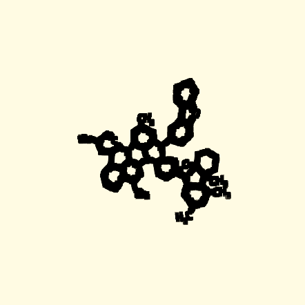 Cc1cc2c3c(c1)N(c1ccc(C(C)(C)C)cc1-c1ccccc1)c1ccc(C(C)(C)C)cc1B3c1ccc(N3c4cc(C)cc(C)c4C4(C)CCCCC34C)cc1N2c1ccc2oc3ccccc3c2c1